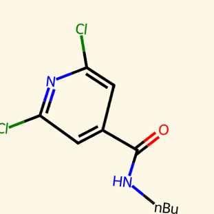 CCCCNC(=O)c1cc(Cl)nc(Cl)c1